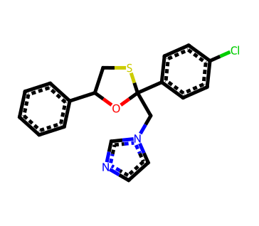 Clc1ccc(C2(Cn3ccnc3)OC(c3ccccc3)CS2)cc1